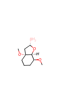 B[C@H]1C[C@]2(OC)CCC[C@H](OC)[C@@H]2O1